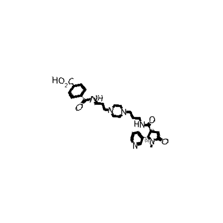 CN1C(=O)C[C@H](C(=O)NCCCN2CCN(CCCNC(=O)[C@H]3CC[C@@H](C(=O)O)CC3)CC2)[C@H]1c1cccnc1